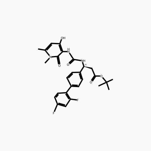 Cc1cc(O)c(NC(=O)N[C@@H](CC(=O)OC(C)(C)C)c2ccc(-c3ccc(F)cc3F)cc2)c(=O)n1C